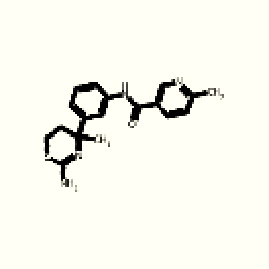 Cc1ccc(C(=O)Nc2cccc(C3(C)CCSC(N)=N3)c2)cn1